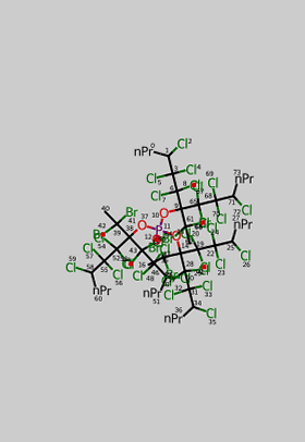 CCCC(Cl)C(Cl)(Cl)C(Cl)(Cl)C(OP(=O)(OC(C(C)(Br)Br)(C(Cl)(Cl)C(Cl)(Cl)C(Cl)CCC)C(Cl)(Cl)C(Cl)(Cl)C(Cl)CCC)OC(C(C)(Br)Br)(C(Cl)(Cl)C(Cl)(Cl)C(Cl)CCC)C(Cl)(Cl)C(Cl)(Cl)C(Cl)CCC)(C(C)(Br)Br)C(Cl)(Cl)C(Cl)(Cl)C(Cl)CCC